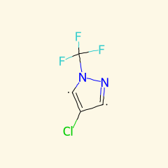 FC(F)(F)n1[c]c(Cl)[c]n1